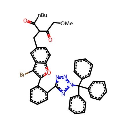 CCCCC(=O)C(Cc1ccc2oc(-c3ccccc3-c3nnn(C(c4ccccc4)(c4ccccc4)c4ccccc4)n3)c(Br)c2c1)C(=O)COC